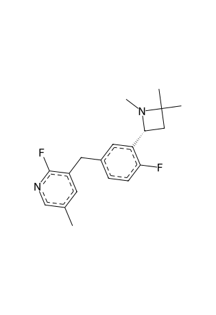 Cc1cnc(F)c(Cc2ccc(F)c([C@H]3CC(C)(C)N3C)c2)c1